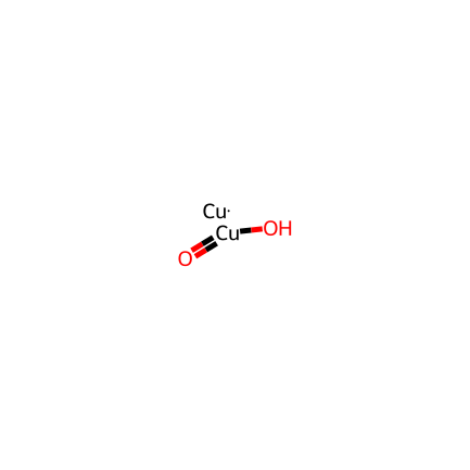 [Cu].[O]=[Cu][OH]